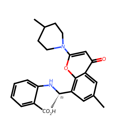 Cc1cc([C@H](C)Nc2ccccc2C(=O)O)c2oc(N3CCC(C)CC3)cc(=O)c2c1